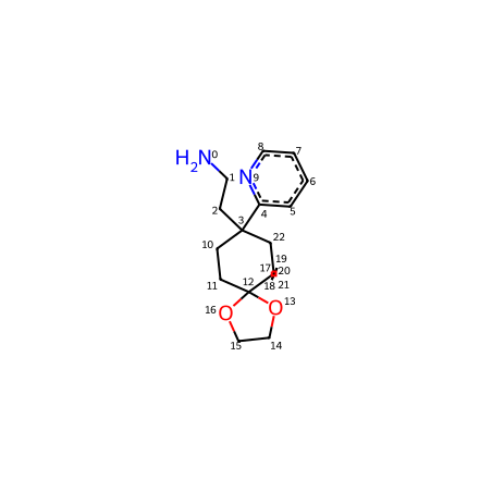 NCCC1(c2ccccn2)CCC2(OCCO2)C2(CCCC2)C1